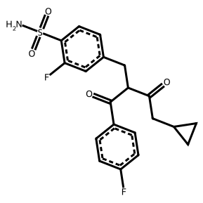 NS(=O)(=O)c1ccc(CC(C(=O)CC2CC2)C(=O)c2ccc(F)cc2)cc1F